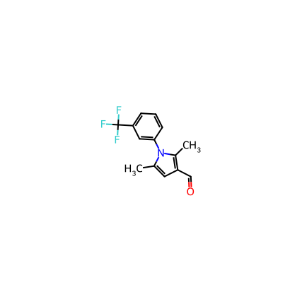 Cc1cc(C=O)c(C)n1-c1cccc(C(F)(F)F)c1